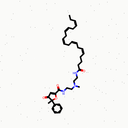 CC/C=C\C/C=C\C/C=C\C/C=C\C/C=C\CCCC(=O)NCCN(C)CCNC(=O)C1=CC(=O)C(C)(c2ccccc2)O1